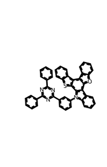 c1ccc(-c2nc(-c3ccccc3)nc(-c3cccc(-n4c5ccccc5c5c6oc7ccccc7c6c6c7ccccc7sc6c54)c3)n2)cc1